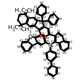 CC1(C)CCC(C)(C)c2cc3c(cc21)-c1ccc(-c2ccc4ccccc4c2N(c2ccc(-c4ccccc4)cc2)c2ccc4oc5ccccc5c4c2)cc1C3(c1ccccc1)c1ccccc1